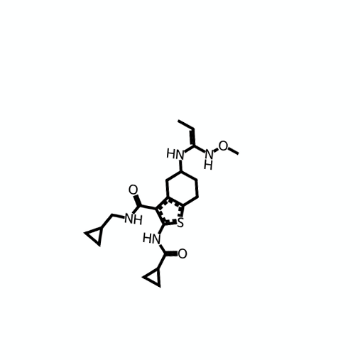 C/C=C(/NOC)NC1CCc2sc(NC(=O)C3CC3)c(C(=O)NCC3CC3)c2C1